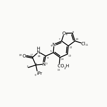 CC(C)C1(C)N=C(c2nc3occ(Cl)c3cc2C(=O)O)NC1=O